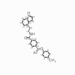 CC(=O)N(Oc1ccc(C)cc1)c1ccc(C(=O)NCCc2cccc3[nH]ccc23)cc1